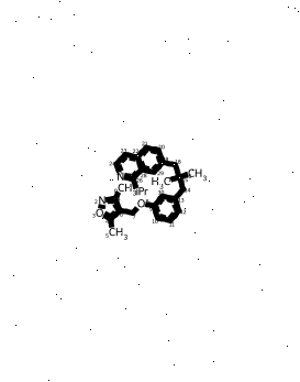 Cc1noc(C)c1COc1cccc(CC(C)(C)Cc2ccc3ccnc(C(C)C)c3c2)c1